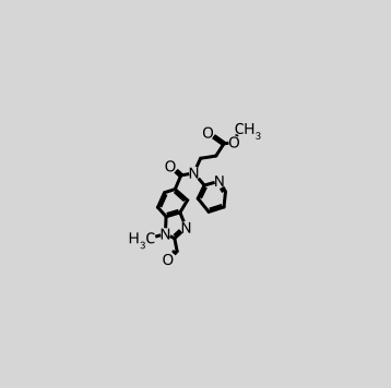 COC(=O)CCN(C(=O)c1ccc2c(c1)nc(C=O)n2C)c1ccccn1